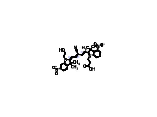 CC1(C)C(/C=C/C(C#N)=C/C=C2/N(CCO)c3cc([N+](=O)[O-])ccc3C2(C)C)=[N+](CCC(=O)O)c2cccc([N+](=O)[O-])c21